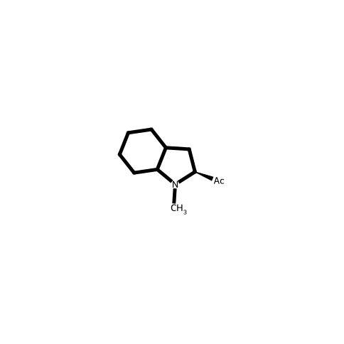 CC(=O)[C@@H]1CC2CCCCC2N1C